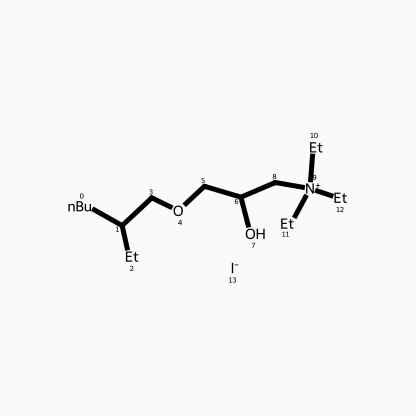 CCCCC(CC)COCC(O)C[N+](CC)(CC)CC.[I-]